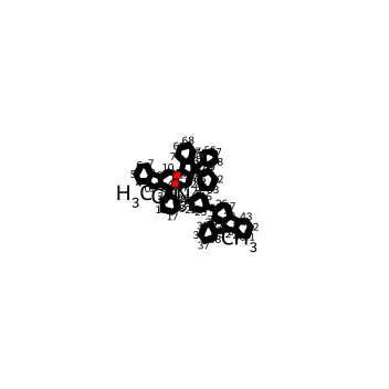 CC1(C)c2ccccc2-c2cccc(-c3ccccc3N(c3ccc(-c4ccc5c(c4)C(C)(c4ccccc4)c4ccccc4-5)cc3)c3ccc4c(c3)C(c3ccccc3)(c3ccccc3)c3ccccc3-4)c21